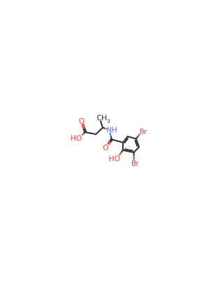 CC(CC(=O)O)NC(=O)c1cc(Br)cc(Br)c1O